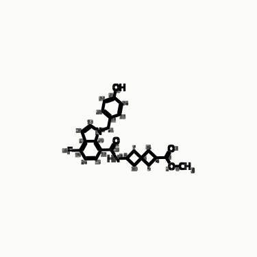 COC(=O)C1CC2(CC(NC(=O)c3ccc(F)c4ccn(Cc5ccc(O)cc5)c34)C2)C1